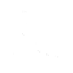 CC(CC(C)N1CCN(C(C)(C)C)CC1)C1CCN(c2ccc(C(C)(C)C)cc2)CC1